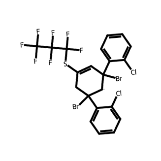 FC(F)(F)C(F)(F)C(F)(F)SC1=CC(Br)(c2ccccc2Cl)[CH]C(Br)(c2ccccc2Cl)C1